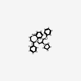 c1ccc(OCC(CN2c3ccccc3SCCC2c2ccccc2)N2CCCC2)cc1